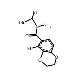 CCc1c(C(=O)N(N)C(CC)C(C)(C)C)ccc2c1OCCO2